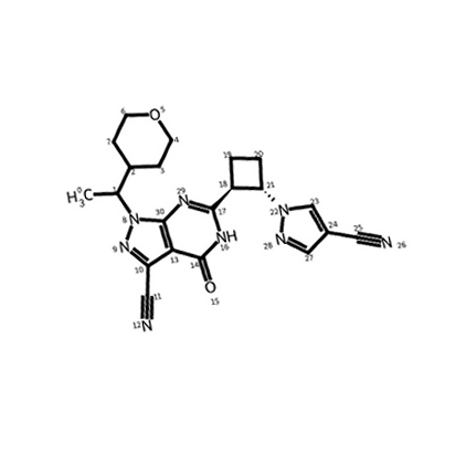 CC(C1CCOCC1)n1nc(C#N)c2c(=O)[nH]c([C@H]3CC[C@@H]3n3cc(C#N)cn3)nc21